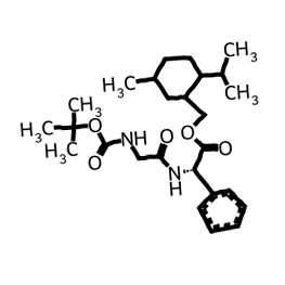 CC1CCC(C(C)C)C(COC(=O)[C@@H](NC(=O)CNC(=O)OC(C)(C)C)c2ccccc2)C1